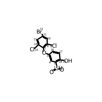 O=[SH](=O)c1cc(Oc2c(Cl)cc(Br)cc2Cl)ccc1O